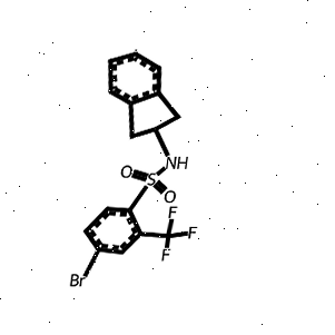 O=S(=O)(NC1Cc2c[c]ccc2C1)c1ccc(Br)cc1C(F)(F)F